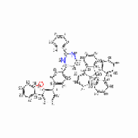 c1ccc(-c2nc(-c3ccc(-c4cccc5c4oc4ccccc45)cc3)cc(-c3cccc4c3-c3ccccc3C43c4ccccc4-c4ccccc43)n2)cc1